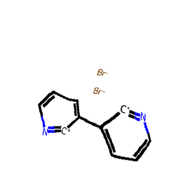 [Br-].[Br-].[C+]1=NC=CC=C1C1=CC=CN=[C+]1